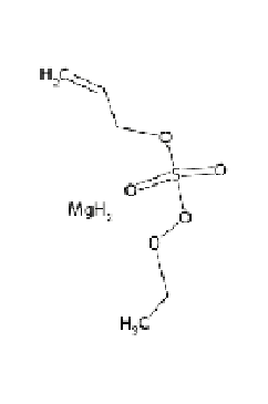 C=CCOS(=O)(=O)OOCC.[MgH2]